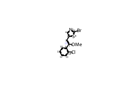 CO/C(=C\c1cnc(Br)s1)c1ccccc1Cl